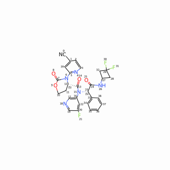 N#Cc1ccnc(N2C(=O)OCC[C@H]2C(=O)N(c2cncc(F)c2)[C@H](C(=O)NC2CC(F)(F)C2)c2ccccc2)c1